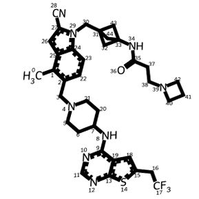 Cc1c(CN2CCC(Nc3ncnc4sc(CC(F)(F)F)cc34)CC2)ccc2c1cc(C#N)n2CC12CC(NC(=O)CCN3CCC3)(C1)C2